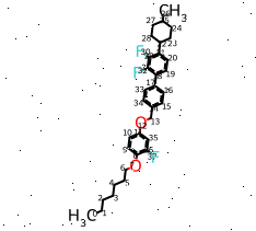 CCCCCCCOc1ccc(OCc2ccc(-c3ccc(C4CCC(C)CC4)c(F)c3F)cc2)cc1F